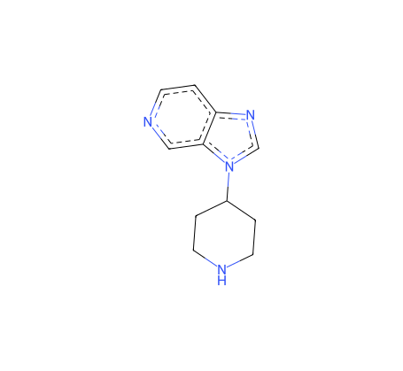 c1cc2ncn(C3CCNCC3)c2cn1